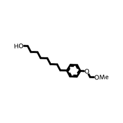 COCOc1ccc(CCCCCCCCO)cc1